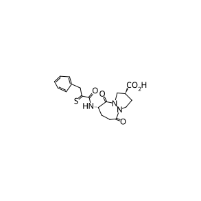 O=C(N[C@H]1CCC(=O)N2CC[C@H](C(=O)O)CN2C1=O)C(=S)Cc1ccccc1